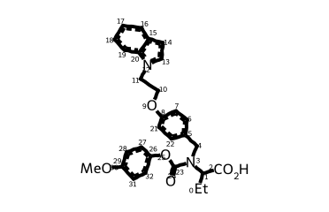 CCC(C(=O)O)N(Cc1ccc(OCCn2ccc3ccccc32)cc1)C(=O)Oc1ccc(OC)cc1